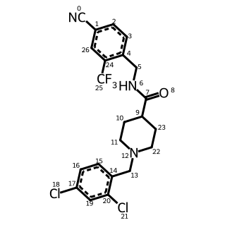 N#Cc1ccc(CNC(=O)C2CCN(Cc3ccc(Cl)cc3Cl)CC2)c(C(F)(F)F)c1